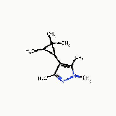 Cc1nn(C)c(C)c1C1C(C)C1(C)C